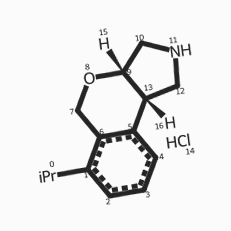 CC(C)c1cccc2c1CO[C@@H]1CNC[C@H]21.Cl